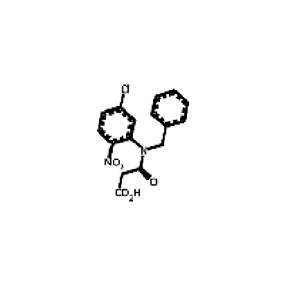 O=C(O)CC(=O)N(Cc1ccccc1)c1cc(Cl)ccc1[N+](=O)[O-]